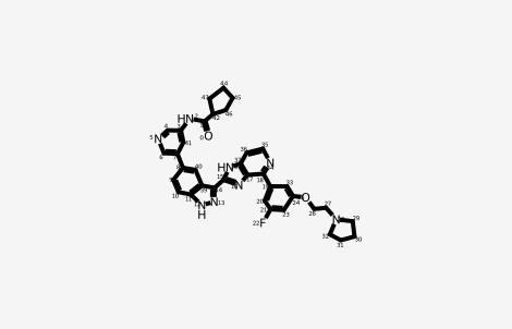 O=C(Nc1cncc(-c2ccc3[nH]nc(-c4nc5c(-c6cc(F)cc(OCCN7CCCC7)c6)nccc5[nH]4)c3c2)c1)C1CCCC1